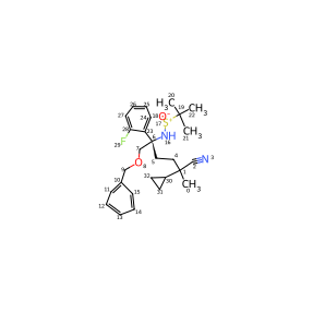 CC(C#N)(CC[C@](COCc1ccccc1)(N[S@+]([O-])C(C)(C)C)c1ccccc1F)C1CC1